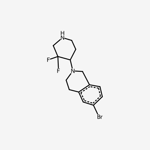 FC1(F)CNCCC1N1CCc2cc(Br)ccc2C1